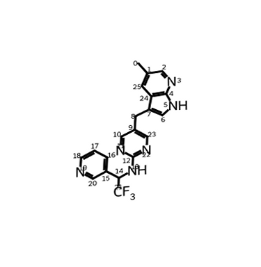 Cc1cnc2[nH]cc(Cc3cnc(NC(c4cccnc4)C(F)(F)F)nc3)c2c1